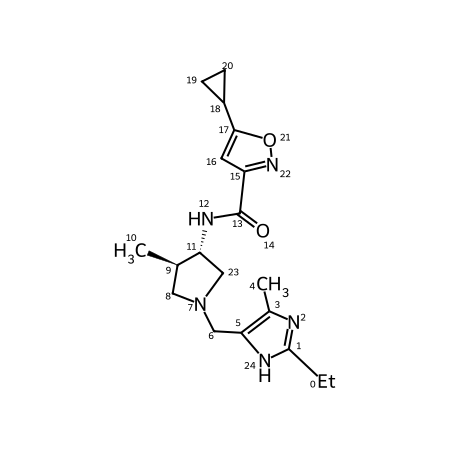 CCc1nc(C)c(CN2C[C@@H](C)[C@H](NC(=O)c3cc(C4CC4)on3)C2)[nH]1